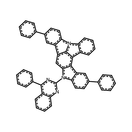 c1ccc(-c2ccc3c(c2)c2c4c5ccccc5n5c6ccc(-c7ccccc7)cc6c(cc2n3-c2nc(-c3ccccc3)c3ccccc3n2)c45)cc1